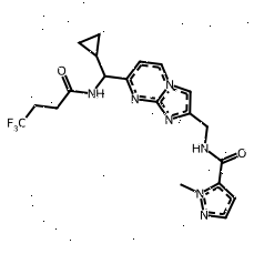 Cn1nccc1C(=O)NCc1cn2ccc(C(NC(=O)CCC(F)(F)F)C3CC3)nc2n1